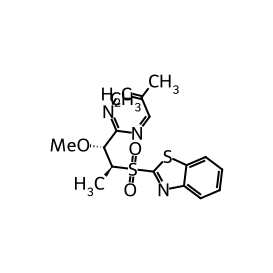 C=C(C)/C=N\C(=N/C)[C@@H](OC)[C@H](C)S(=O)(=O)c1nc2ccccc2s1